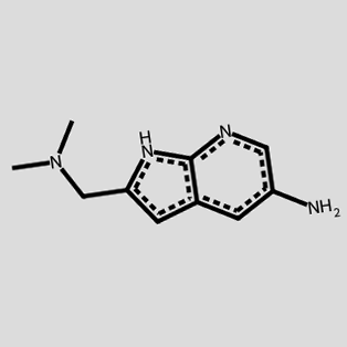 CN(C)Cc1cc2cc(N)cnc2[nH]1